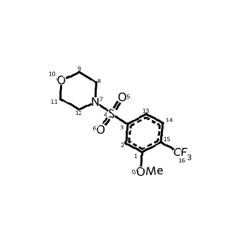 COc1cc(S(=O)(=O)N2CCOCC2)ccc1C(F)(F)F